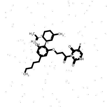 C=C(C)[C@@H]1CCC(C)=C[C@H]1c1c(O)cc(CCCCC)cc1OCCC(=O)n1c(=O)[nH]cc(F)c1=O